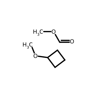 COC1CCC1.COC=O